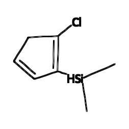 C[SiH](C)C1=C(Cl)CC=C1